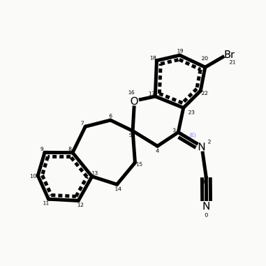 N#C/N=C1\CC2(CCc3ccccc3CC2)Oc2ccc(Br)cc21